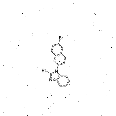 CCc1nc2ccccc2n1-c1ccc2cc(Br)ccc2c1